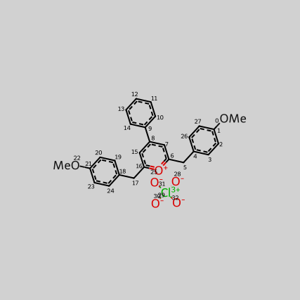 COc1ccc(Cc2cc(-c3ccccc3)cc(Cc3ccc(OC)cc3)[o+]2)cc1.[O-][Cl+3]([O-])([O-])[O-]